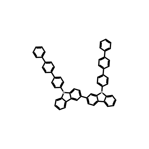 c1ccc(-c2ccc(-c3ccc(-n4c5ccccc5c5cc(-c6ccc7c8ccccc8n(-c8ccc(-c9ccc(-c%10ccccc%10)cc9)cc8)c7c6)ccc54)cc3)cc2)cc1